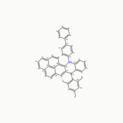 Cc1cc(C)c(B2c3ccccc3N(c3ccc(-c4ccccc4)cc3)c3c2cc2ccc4cccc5ccc3c2c45)c(C)c1